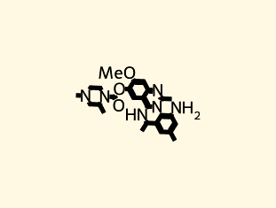 COc1cc2nc(C)nc(NC(C)c3cc(C)cc(N)c3)c2cc1OC(=O)N1CCN(C)CC1C